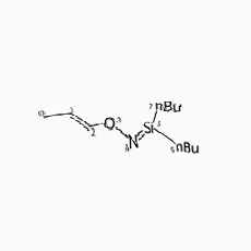 CC=CON=[Si](CCCC)CCCC